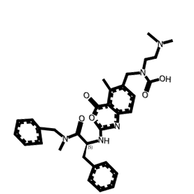 Cc1c(CN(CCN(C)C)C(=O)O)ccc2nc(N[C@@H](Cc3ccccc3)C(=O)N(C)Cc3ccccc3)oc(=O)c12